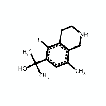 Cc1cc(C(C)(C)O)c(F)c2c1CNCC2